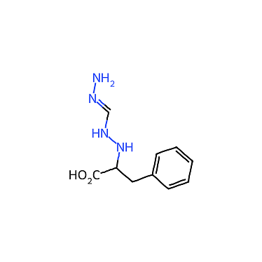 NN=CNNC(Cc1ccccc1)C(=O)O